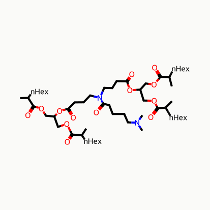 CCCCCCC(C)C(=O)OCC(COC(=O)C(C)CCCCCC)OC(=O)CCCN(CCCC(=O)OC(COC(=O)C(C)CCCCCC)COC(=O)C(C)CCCCCC)C(=O)CCCCN(C)C